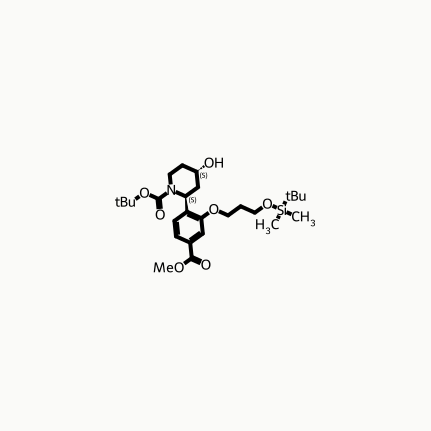 COC(=O)c1ccc([C@@H]2C[C@@H](O)CCN2C(=O)OC(C)(C)C)c(OCCCO[Si](C)(C)C(C)(C)C)c1